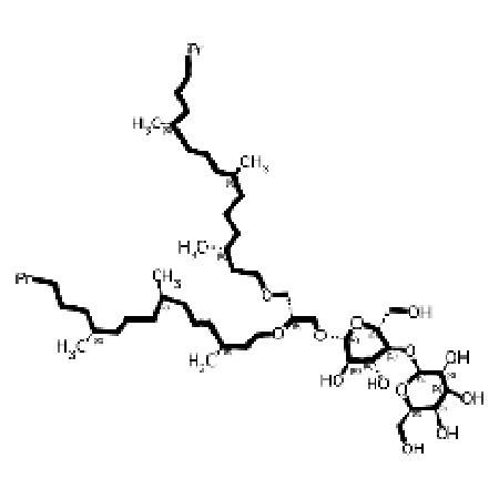 CC(C)CCC[C@@H](C)CCC[C@@H](C)CCC[C@@H](C)CCOC[C@H](CO[C@@H]1O[C@H](CO)[C@@H](O[C@@H]2O[C@H](CO)[C@H](O)[C@H](O)[C@H]2O)[C@H](O)[C@H]1O)OCC[C@H](C)CCC[C@H](C)CCC[C@H](C)CCCC(C)C